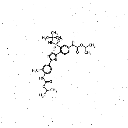 Cc1cc(-c2ncc(-c3ccc(NC(=O)OC(C)C)cc3S(=O)(=O)NC(C)(C)C)s2)ccc1NC(=O)OC(C)C